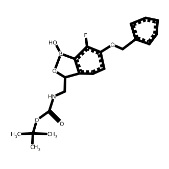 CC(C)(C)OC(=O)NCC1OB(O)c2c1ccc(OCc1ccccc1)c2F